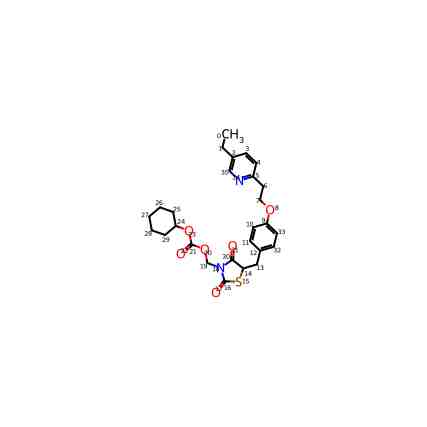 CCc1ccc(CCOc2ccc(CC3SC(=O)N(COC(=O)OC4CCCCC4)C3=O)cc2)nc1